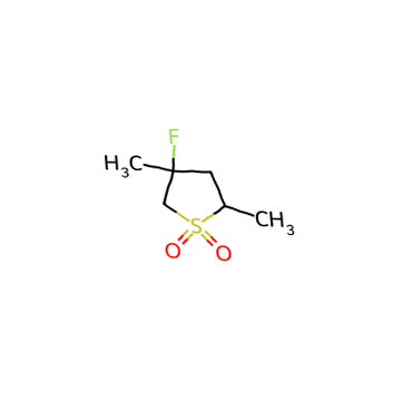 CC1CC(C)(F)CS1(=O)=O